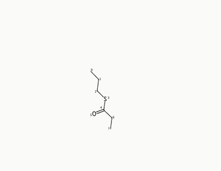 CCCSC(=O)CC